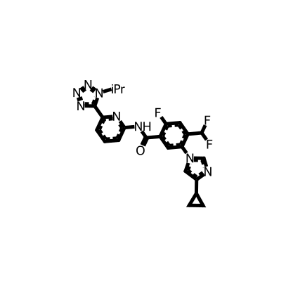 CC(C)n1nnnc1-c1cccc(NC(=O)c2cc(-n3cnc(C4CC4)c3)c(C(F)F)cc2F)n1